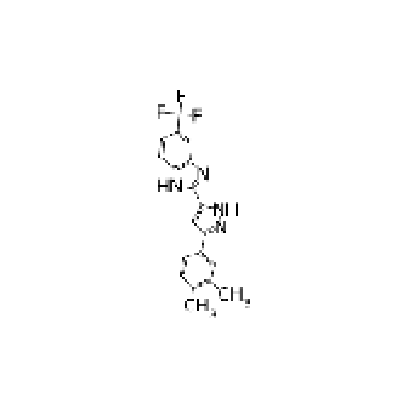 Cc1ccc(-c2cc(-c3nc4cc(C(F)(F)F)ccc4[nH]3)[nH]n2)cc1C